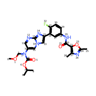 COCN(C(=O)OC(C)C)c1cnc2nc(-c3cc(NC(=O)c4oc(C)nc4C)ccc3F)cn2c1